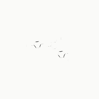 CCOC(COc1ccc(C)cc1)CSc1ccc(O)c(C)c1